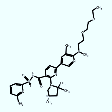 CCOCCOCCN(C)c1ncc(-c2ccc(C(=O)NS(=O)(=O)c3cccc(N)n3)c(N3C[C@@H](C)CC3(C)C)n2)cc1C